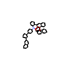 c1ccc(-c2ccc(N(c3ccc(-c4cccc(-c5ccc6ccccc6c5)c4)cc3)c3ccccc3-c3cc4ccccc4c4c3oc3ccccc34)cc2)cc1